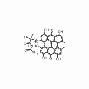 CCC(Br)(CC)C(=O)NC(N)=O.Cc1cc(O)c2c(=O)c3c(O)cc(O)c4c5c(O)cc(O)c6c(=O)c7c(O)cc(C)c8c1c2c(c34)c(c78)c65